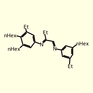 CCCCCCc1cc(CC)cc(N=CC(CC)=Nc2cc(CC)c(CCCCCC)c(CCCCCC)c2)c1